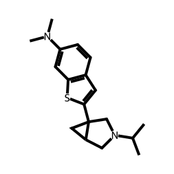 CC(C)N1CC2CC2(c2cc3ccc(N(C)C)cc3s2)C1